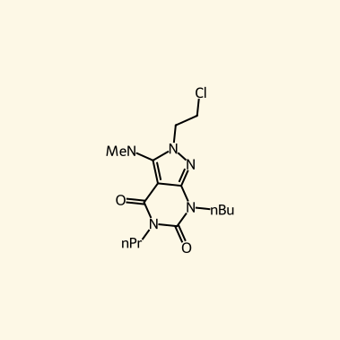 CCCCn1c(=O)n(CCC)c(=O)c2c(NC)n(CCCl)nc21